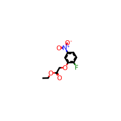 CCOC(=O)COc1cc([N+](=O)[O-])ccc1F